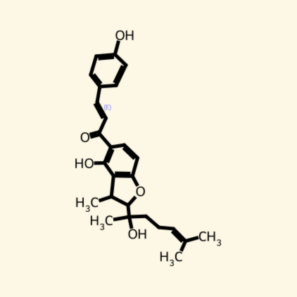 CC(C)=CCCC(C)(O)C1Oc2ccc(C(=O)/C=C/c3ccc(O)cc3)c(O)c2C1C